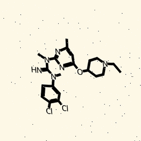 CCN1CCC(Oc2cc(C)nc(N(C)C(=N)N(C)c3ccc(Cl)c(Cl)c3)n2)CC1